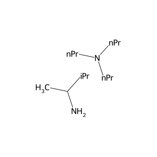 CC(C)C(C)N.CCCN(CCC)CCC